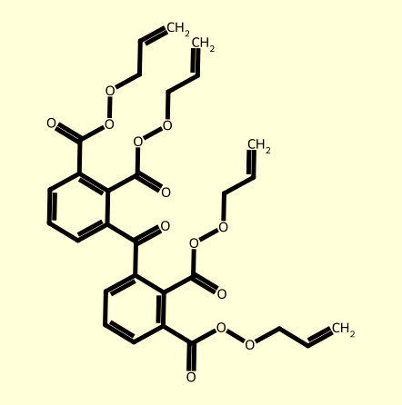 C=CCOOC(=O)c1cccc(C(=O)c2cccc(C(=O)OOCC=C)c2C(=O)OOCC=C)c1C(=O)OOCC=C